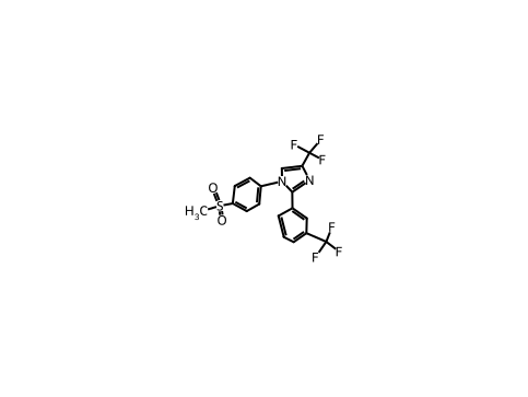 CS(=O)(=O)c1ccc(-n2cc(C(F)(F)F)nc2-c2cccc(C(F)(F)F)c2)cc1